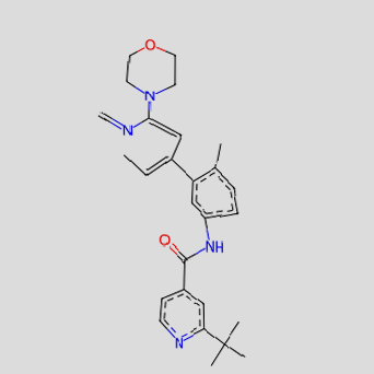 C=N/C(=C\C(=C/C)c1cc(NC(=O)c2ccnc(C(C)(C)C)c2)ccc1C)N1CCOCC1